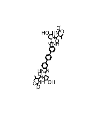 COC(=O)N[C@H](C(=O)N1C[C@H](O)C[C@H]1c1nc2cc(-c3ccc(-c4ccc5[nH]c([C@@H]6C[C@@H](O)CN6C(=O)[C@@H](NC(=O)OC)C(C)C)nc5c4)cc3)ccc2[nH]1)C(C)C